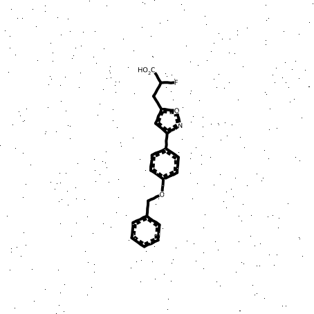 O=C(O)C(F)Cc1cc(-c2ccc(OCc3ccccc3)cc2)no1